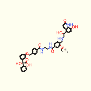 COc1cc(C(=O)NCCNC(=O)c2ccc(COc3cccc(C(O)(C(=O)O)c4ccccc4)c3)cc2)ccc1CNCC(O)c1ccc(O)c2[nH]c(=O)ccc12